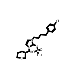 O=P(O)(O)OC1N(CCCCc2ccc(Cl)cc2)C=CN1CC1CCCCC1